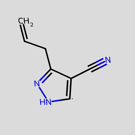 C=CCc1n[nH][c]c1C#N